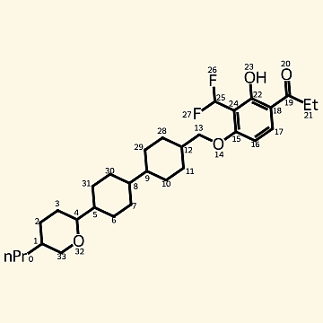 CCCC1CCC(C2CCC(C3CCC(COc4ccc(C(=O)CC)c(O)c4C(F)F)CC3)CC2)OC1